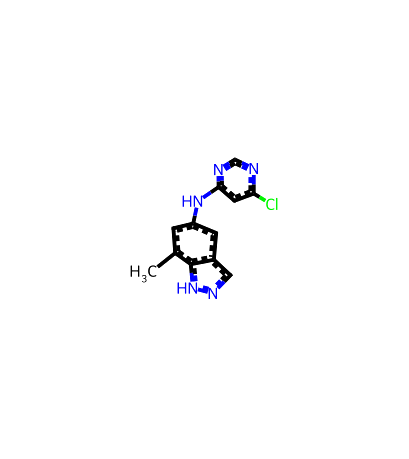 Cc1cc(Nc2cc(Cl)ncn2)cc2cn[nH]c12